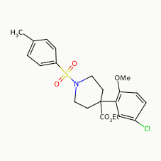 CCOC(=O)C1(c2cc(Cl)ccc2OC)CCN(S(=O)(=O)c2ccc(C)cc2)CC1